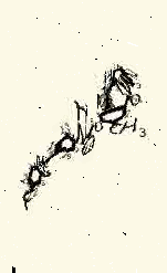 Cc1cc2c(cc1OCC(=O)Nc1ccc(-c3nc4ccc(F)cc4s3)cc1)N=C[C@@H]1CCCN1C2=O